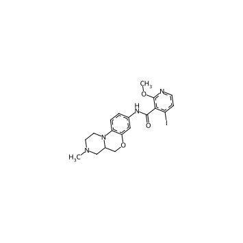 COc1nccc(I)c1C(=O)Nc1ccc2c(c1)OCC1CN(C)CCN21